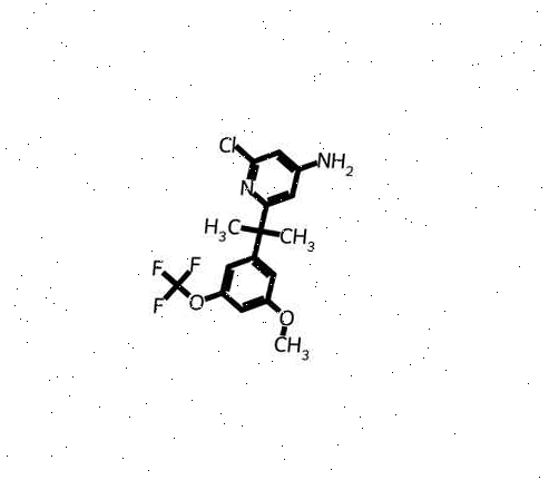 COc1cc(OC(F)(F)F)cc(C(C)(C)c2cc(N)cc(Cl)n2)c1